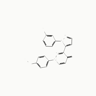 O=c1ccn(-c2ccc(OC(F)(F)F)cc2)nc1-c1ccnn1-c1cccc(F)c1